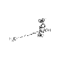 CCCCCCCCCCCCCC(=O)N[C@@H](CO)[C@H](O)c1ccc([N+](=O)[O-])cc1